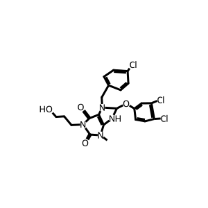 Cn1c2c(c(=O)n(CCCO)c1=O)N(Cc1ccc(Cl)cc1)C(Oc1ccc(Cl)c(Cl)c1)N2